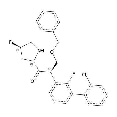 O=C([C@@H]1C[C@@H](F)CN1)[C@@H](COCc1ccccc1)c1cccc(-c2ccccc2Cl)c1F